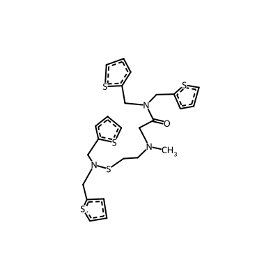 CN(CCSN(Cc1cccs1)Cc1cccs1)CC(=O)N(Cc1cccs1)Cc1cccs1